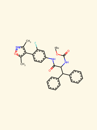 Cc1noc(C)c1-c1ccc(NC(=O)C(NC(=O)OC(C)(C)C)C(c2ccccc2)c2ccccc2)cc1F